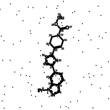 CC(C)n1ncc2ccc(-c3nsc(C4=CCN(C(=O)OC(C)(C)C)CC4)n3)cc21